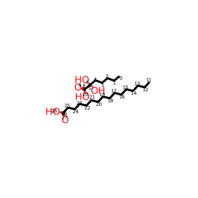 CCCCCC(O)(O)C(=O)O.CCCCCCCCCCCCCCCC(=O)O